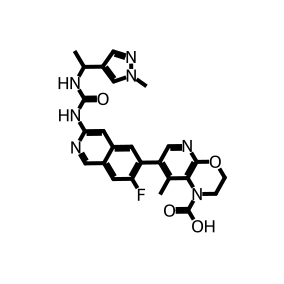 Cc1c(-c2cc3cc(NC(=O)NC(C)c4cnn(C)c4)ncc3cc2F)cnc2c1N(C(=O)O)CCO2